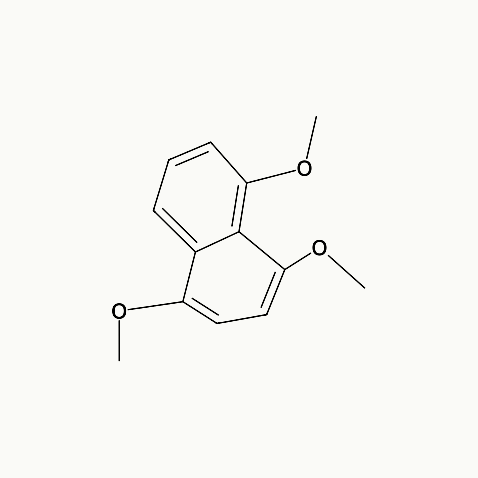 COc1ccc(OC)c2c(OC)cccc12